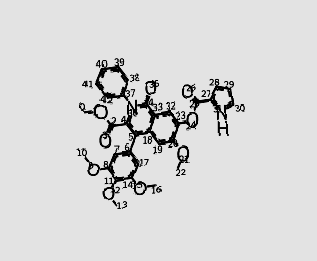 COC(=O)c1c(-c2cc(OC)c(OC)c(OC)c2)c2cc(OC)c(OC(=O)c3ccc[nH]3)cc2c(=O)n1-c1ccccc1